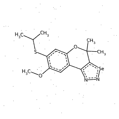 COc1cc2c(cc1SC(C)C)OC(C)(C)c1[se]nnc1-2